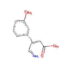 N=C/C(=C\C(=O)O)c1cccc(O)c1